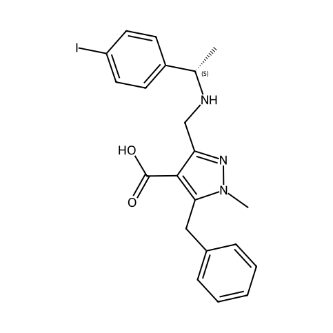 C[C@H](NCc1nn(C)c(Cc2ccccc2)c1C(=O)O)c1ccc(I)cc1